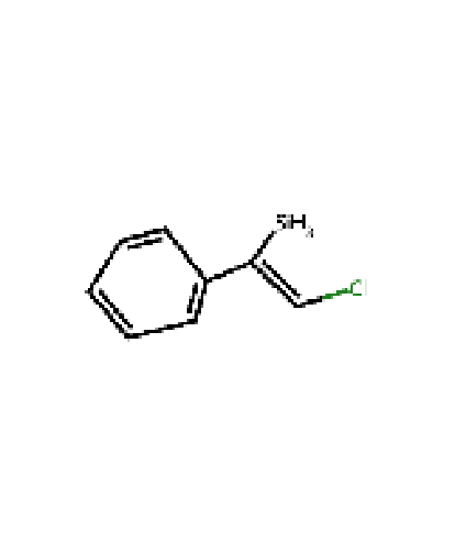 [SiH3]C(=CCl)c1ccccc1